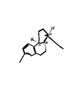 Cc1ccc2c(c1)CC[C@]13CN(C)C[C@H]1CC[C@H]23